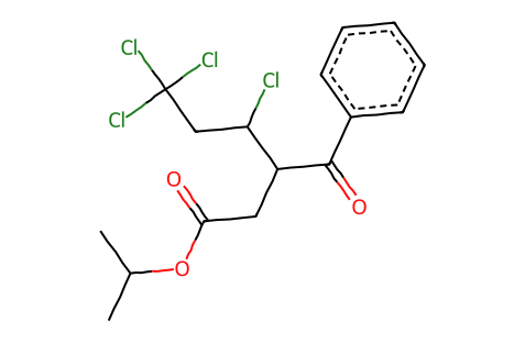 CC(C)OC(=O)CC(C(=O)c1ccccc1)C(Cl)CC(Cl)(Cl)Cl